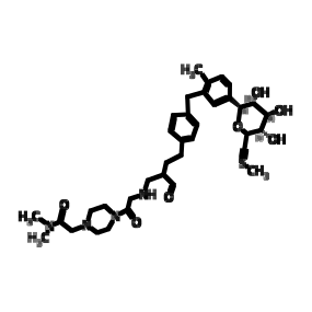 CS#CC1O[C@@H](c2ccc(C)c(Cc3ccc(CCC(C=O)CNCC(=O)N4CCN(CC(=O)N(C)C)CC4)cc3)c2)[C@H](O)[C@@H](O)[C@@H]1O